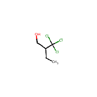 CCC(CO)C(Cl)(Cl)Cl